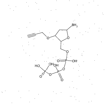 BC1CC(OCC#C)C(COP(=O)(O)OP(=O)(O)OP(=O)(O)O)O1